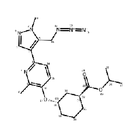 Cc1nc(-c2cnn(C)c2CN=[N+]=[N-])ccc1O[C@H]1CCC[C@H](C(=O)OC(C)C)C1